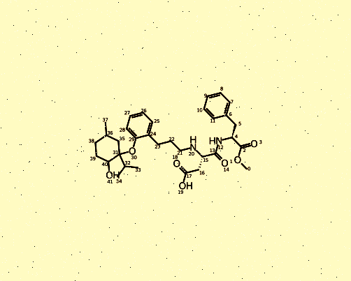 COC(=O)[C@H](Cc1ccccc1)NC(=O)[C@H](CC(=O)O)NCCCc1ccccc1OC1(C(C)C)CC(C)CCC1O